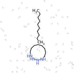 C1CCCCNNNNCCC1.CCCCCCCCCC